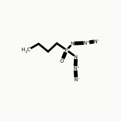 CCCCP(=O)(N=[N+]=[N-])N=[N+]=[N-]